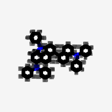 c1ccc(N(c2ccccc2)c2cccc3c(-c4ccc5c6c4ccc4c(N(c7ccccc7)c7ccccc7)ccc(c46)n5-c4ccccc4)cccc23)cc1